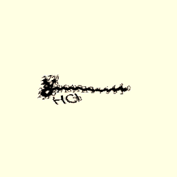 CCCCCCCCCCCCCCCCCCCc1ccccc1N(CC)CC.Cl